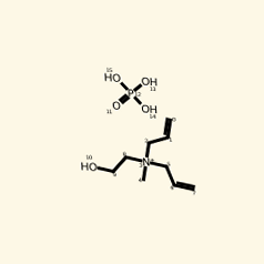 C=CC[N+](C)(CC=C)CCO.O=P(O)(O)O